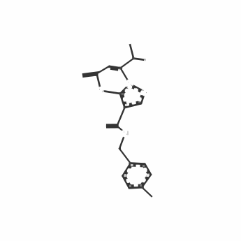 C=C1C=C(C(F)F)n2ncc(C(=O)NCc3ccc(Cl)cc3)c2N1